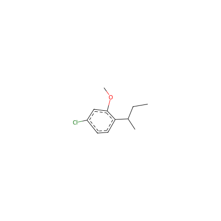 CCC(C)c1ccc(Cl)cc1OC